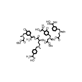 CC(C)N(CCC(=O)OC(C)(C)C)Cc1cccc(C(=N)NO)c1.CN(CC(=O)OC(C)(C)C)Cc1ccc(C(N)=NO)c(Cl)c1.CN(CCC(C(=O)ON=C(N)c1ccc(Cl)c(CN(C)CC(=O)OC(C)(C)C)c1)C(C)(C)C)Cc1ccc(C(N)=NO)cc1